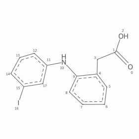 O=C(O)Cc1ccccc1Nc1cccc(I)c1